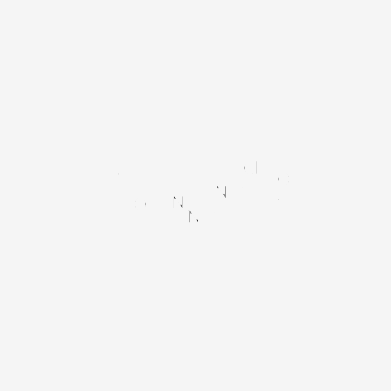 CC(=O)c1ccc(-n2ccc(OCC(C)(C)C)n2)nc1Cl